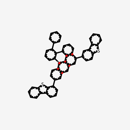 c1ccc(-c2ccccc2-c2c(-c3ccccc3)cccc2N(c2ccc(-c3ccc4sc5ccccc5c4c3)cc2)c2ccc(-c3cccc4c3sc3ccccc34)cc2)cc1